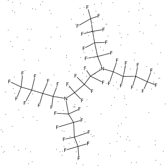 FC(F)(F)C(F)(F)C(F)(F)C(F)(F)N(C(F)(F)C(F)(F)C(F)(F)N(C(F)(F)C(F)(F)C(F)(F)C(F)(F)F)C(F)(F)C(F)(F)C(F)(F)C(F)(F)F)C(F)(F)C(F)(F)C(F)(F)C(F)(F)F